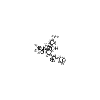 CC(C)c1ccc([C@](O)(c2cccc(-c3cc(C4CCOCC4)no3)c2)C2(C)CN(C(=O)OC(C)(C)C)C2)cc1